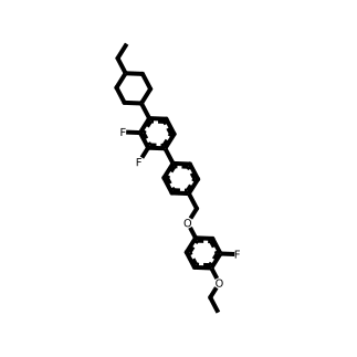 CCOc1ccc(OCc2ccc(-c3ccc(C4CCC(CC)CC4)c(F)c3F)cc2)cc1F